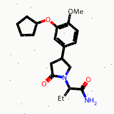 CCC(C(N)=O)N1CC(c2ccc(OC)c(OC3CCCC3)c2)CC1=O